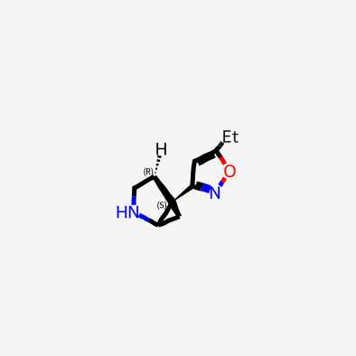 CCc1cc([C@@]23C4NC[C@@H]2C43)no1